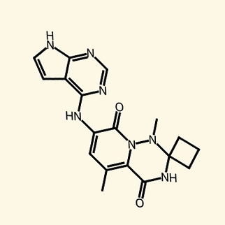 Cc1cc(Nc2ncnc3[nH]ccc23)c(=O)n2c1C(=O)NC1(CCC1)N2C